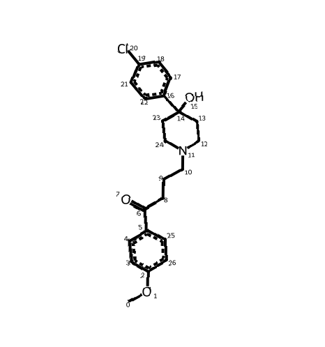 COc1ccc(C(=O)CCCN2CCC(O)(c3ccc(Cl)cc3)CC2)cc1